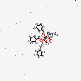 CC(=O)N[C@H]1[C@H]2OC[C@](COCc3ccccc3)(O2)[C@H](OCc2ccccc2)[C@@H]1OCc1ccccc1